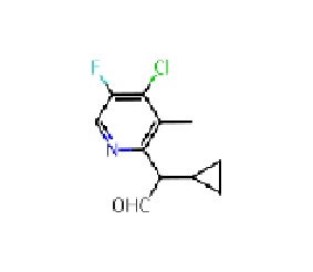 Cc1c(C(C=O)C2CC2)ncc(F)c1Cl